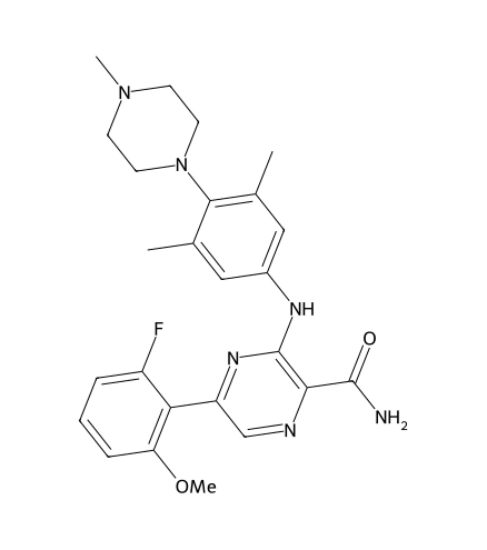 COc1cccc(F)c1-c1cnc(C(N)=O)c(Nc2cc(C)c(N3CCN(C)CC3)c(C)c2)n1